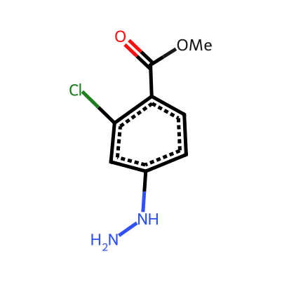 COC(=O)c1ccc(NN)cc1Cl